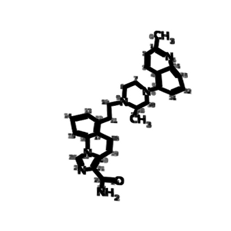 Cc1ccc2c(N3CCN(CCc4cccc5c4ccc4c(C(N)=O)ncn45)[C@H](C)C3)cccc2n1